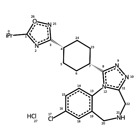 CC(C)c1nc([C@H]2CC[C@@H](c3nnc4n3-c3ccc(Cl)cc3CNC4)CC2)no1.Cl